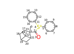 CC1(C(=O)[S+](c2ccccc2)c2ccccc2)CCC2CC1C2(C)C